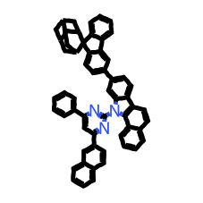 c1ccc(-c2cc(-c3ccc4ccccc4c3)nc(-n3c4cc(-c5ccc6c(c5)-c5ccccc5C65C6CC7CC(C6)CC5C7)ccc4c4ccc5ccccc5c43)n2)cc1